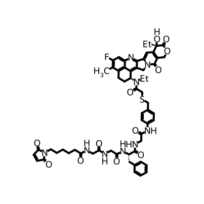 CCN(C(=O)CSCc1ccc(NC(=O)CNC(=O)[C@H](Cc2ccccc2)NC(=O)CNC(=O)CNC(=O)CCCCCN2C(=O)C=CC2=O)cc1)[C@H]1CCc2c(C)c(F)cc3nc4c(c1c23)Cn1c-4cc2c(c1=O)COC(=O)[C@]2(O)CC